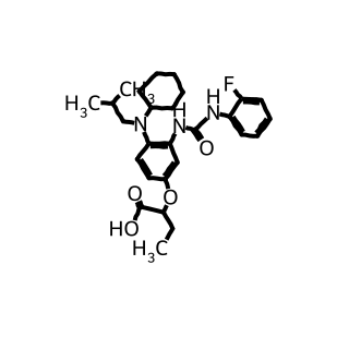 CCC(Oc1ccc(N(CC(C)C)C2CCCCC2)c(NC(=O)Nc2ccccc2F)c1)C(=O)O